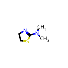 CN(C)C1=NCCS1